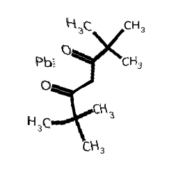 CC(C)(C)C(=O)CC(=O)C(C)(C)C.[Pb]